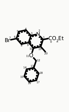 CCOC(=O)c1nc2ccc(Br)cc2c(OCc2ccccc2)c1C